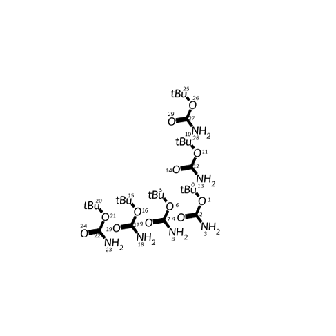 CC(C)(C)OC(N)=O.CC(C)(C)OC(N)=O.CC(C)(C)OC(N)=O.CC(C)(C)OC(N)=O.CC(C)(C)OC(N)=O.CC(C)(C)OC(N)=O